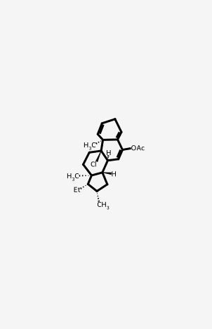 CC[C@H]1[C@@H](C)C[C@H]2[C@@H]3C=C(OC(C)=O)C4=CCC=C[C@]4(C)[C@@]3(Cl)CC[C@]12C